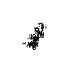 CCC(C)(C)C(=O)SCCOP(=O)(NCc1ccccc1)OC[C@H]1O[C@@H](n2cnc3c(=O)[nH]c(N)nc32)[C@](C)(O)[C@@H]1O